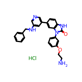 Cl.NCCOc1cccc(-n2c(=O)[nH]c3ccc(-c4cncc(NCc5ccccc5)c4)cc32)c1